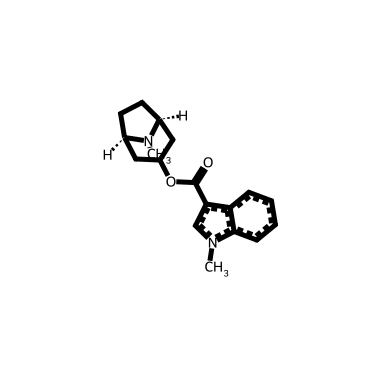 CN1[C@@H]2CC[C@H]1CC(OC(=O)c1cn(C)c3ccccc13)C2